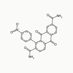 NC(=O)c1ccc2c(c1)C(=O)c1c(ccc(C(N)=O)c1-c1ccc([N+](=O)[O-])cc1)C2=O